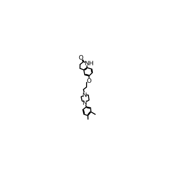 Cc1ccc(N2CCN(CCCOc3ccc4c(c3)CCC(=O)N4)CC2)cc1C